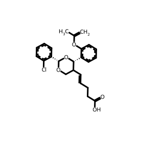 C=C(C)Oc1ccccc1[C@H]1O[C@@H](c2ccccc2Cl)OCC1C=CCCC(=O)O